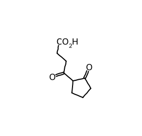 O=C(O)CCC(=O)C1CCCC1=O